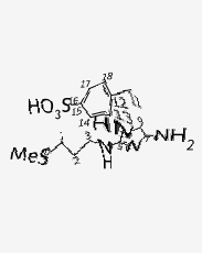 CSCCCNC1=NC(N)CN1.Cc1ccc(S(=O)(=O)O)cc1